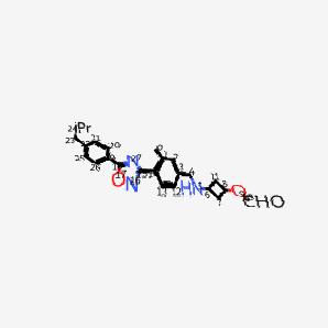 Cc1cc(CNC2CC(OC=O)C2)ccc1-c1noc(-c2ccc(CC(C)C)cc2)n1